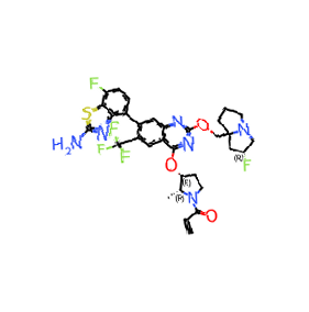 C=CC(=O)N1CC[C@@H](Oc2nc(OCC34CCCN3C[C@H](F)C4)nc3cc(-c4ccc(F)c5sc(N)nc45)c(C(F)(F)F)cc23)[C@H]1C